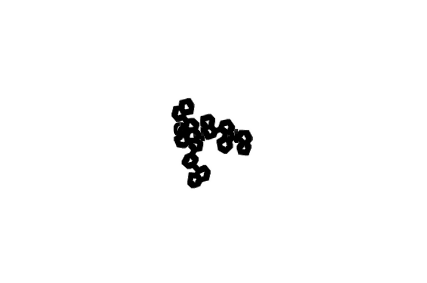 c1cc(-c2ccc(N(c3ccc(-c4cccc5c4c4ccccc4n5-c4cccc5ccccc45)c4ccccc34)c3ccc(-c4cccc5ccccc45)c4oc5ccccc5c34)cc2)cc(-c2cccc3ccccc23)c1